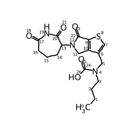 CCCCN(Cc1csc2c1CN(C1CCCC(=O)NC1=O)C2=O)C(=O)O